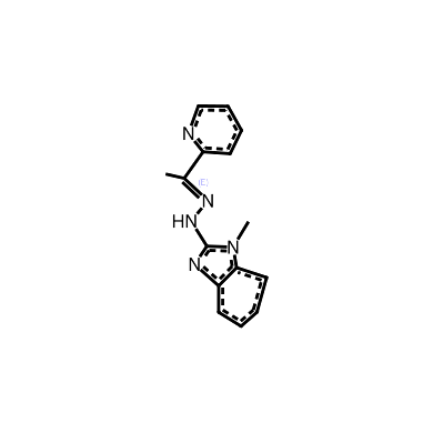 C/C(=N\Nc1nc2ccccc2n1C)c1ccccn1